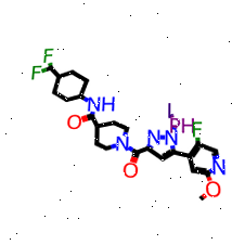 COc1cc(-c2cc(C(=O)N3CCC(C(=O)NC4CCC(C(F)F)CC4)CC3)nn2PI)c(F)cn1